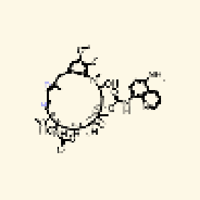 COc1cc2cc(c1Cl)N(C)C(O)C[C@H](OC(=O)Nc1ccc(N)c3cccnc13)[C@]1(C)O[C@H]1[C@H](C)[C@@H]1C[C@@](O)(NC(=O)O1)[C@H](OC)/C=C/C=C(\C)C2